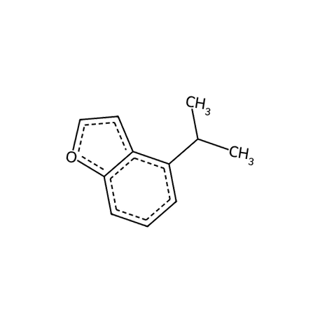 CC(C)c1cccc2occc12